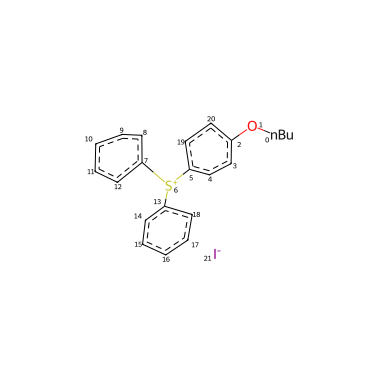 CCCCOc1ccc([S+](c2ccccc2)c2ccccc2)cc1.[I-]